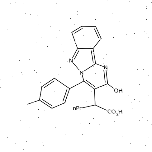 CCCC(C(=O)O)c1c(O)nc2c3ccccc3nn2c1-c1ccc(C)cc1